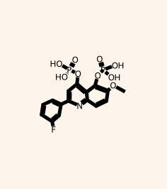 COc1ccc2nc(-c3cccc(F)c3)cc(OP(=O)(O)O)c2c1OP(=O)(O)O